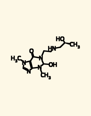 C[C@H](O)CNCCN1C(=O)c2c(ncn2C)N(C)C1O